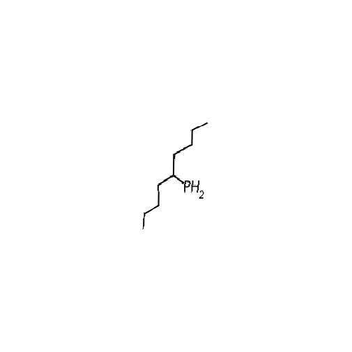 CCCCC(P)CCCC